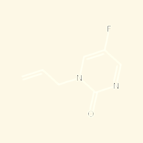 C=CCn1cc(F)cnc1=O